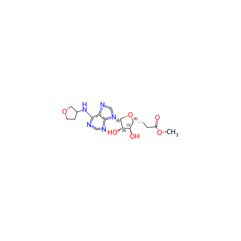 COC(=O)CC[C@H]1O[C@@H](n2cnc3c(NC4CCOC4)ncnc32)[C@H](O)[C@@H]1O